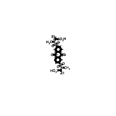 CCC(N(C)S(=O)(=O)c1ccc2c(c1)C(=O)c1ccc(S(=O)(=O)N(C)C(CC)S(=O)(=O)O)cc1C2=O)S(=O)(=O)O